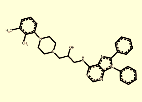 Cc1cccc(N2CCN(CC(O)CNc3ncnc4c3nc(-c3ccccc3)n4-c3ccccc3)CC2)c1C